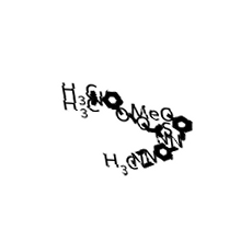 COc1cccc(CN(Cc2ccc(N3CCN(C)CC3)cc2)c2nc(COCCOc3cccc(N(C)C)c3)cs2)c1